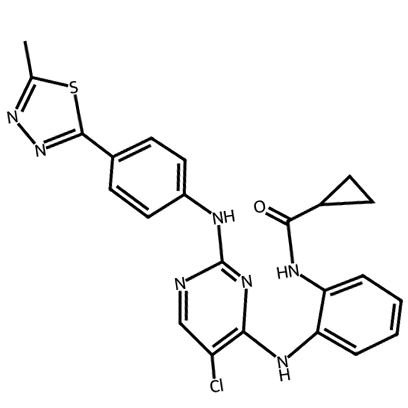 Cc1nnc(-c2ccc(Nc3ncc(Cl)c(Nc4ccccc4NC(=O)C4CC4)n3)cc2)s1